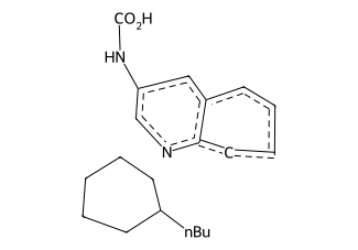 CCCCC1CCCCC1.O=C(O)Nc1cnc2ccccc2c1